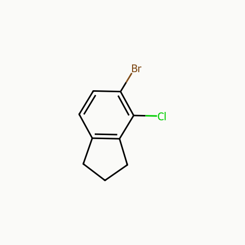 Clc1c(Br)ccc2c1CCC2